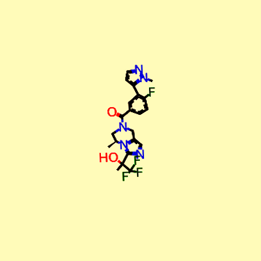 C[C@H]1CN(C(=O)c2ccc(F)c(-c3ccnn3C)c2)Cc2cnc(C(C)(O)C(F)(F)F)n21